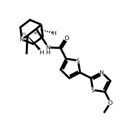 COc1cnc(-c2ccc(C(=O)N[C@@H]3C4CCN(CC4)[C@H]3C)s2)s1